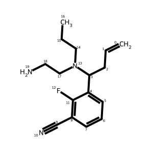 C=CCC(c1cccc(C#N)c1F)N(CCC)CCN